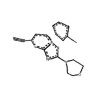 C#Cc1ccn2nc(N3CCOCC3)nc2n1.Cc1ccccc1